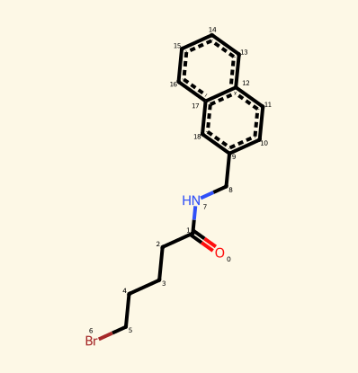 O=C(CCCCBr)NCc1ccc2ccccc2c1